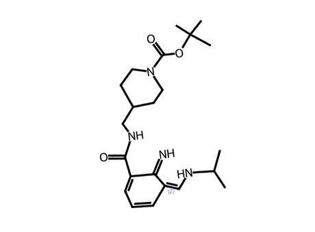 CC(C)N/C=C1/C=CC=C(C(=O)NCC2CCN(C(=O)OC(C)(C)C)CC2)C1=N